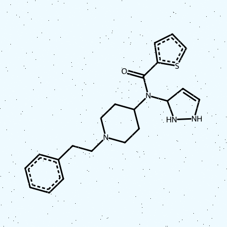 O=C(c1cccs1)N(C1CCN(CCc2ccccc2)CC1)C1C=CNN1